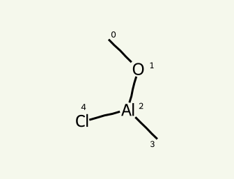 C[O][Al]([CH3])[Cl]